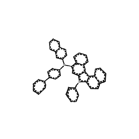 c1ccc(-c2ccc(N(c3ccc4ccccc4c3)c3cc4c(c5ccccc35)c3c5ccccc5ccc3n4-c3ccccc3)cc2)cc1